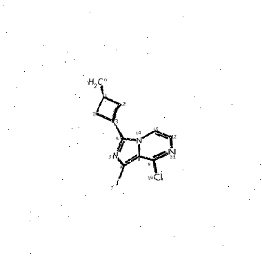 [CH2][C@H]1C[C@@H](c2nc(I)c3c(Cl)nccn32)C1